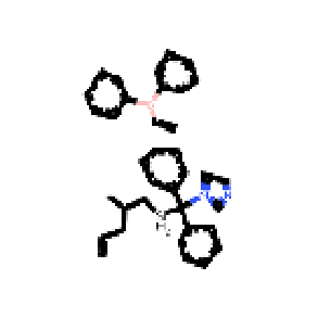 C=CB(c1ccccc1)c1ccccc1.C=CCC(C)C[SiH2]C(c1ccccc1)(c1ccccc1)n1ccnc1